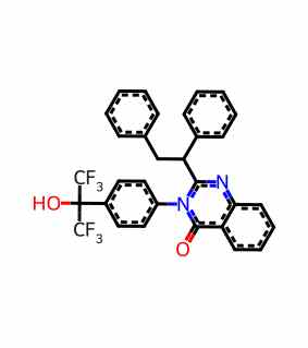 O=c1c2ccccc2nc(C(Cc2ccccc2)c2ccccc2)n1-c1ccc(C(O)(C(F)(F)F)C(F)(F)F)cc1